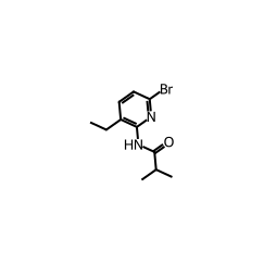 CCc1ccc(Br)nc1NC(=O)C(C)C